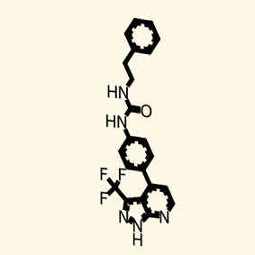 O=C(NCCc1ccccc1)Nc1ccc(-c2ccnc3[nH]nc(C(F)(F)F)c23)cc1